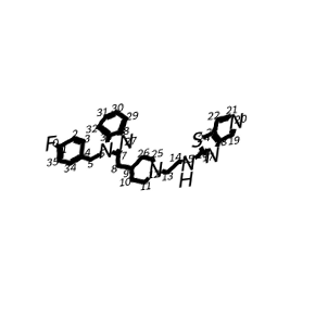 Fc1ccc(Cn2c(CC3CCN(CCNc4nc5cnccc5s4)CC3)nc3ccccc32)cc1